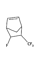 FC1C2C=CC(C2)C1C(F)(F)F